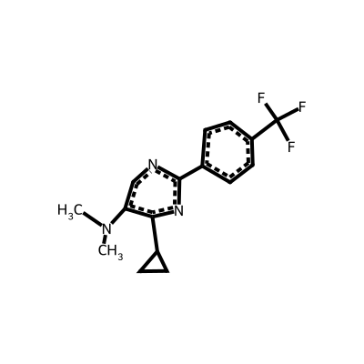 CN(C)c1cnc(-c2ccc(C(F)(F)F)cc2)nc1C1CC1